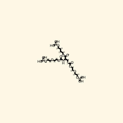 O=C(NC(CSC(=O)OCCOCCON(O)O)C(=O)OCCCCON(O)O)OCCOCCON(O)O